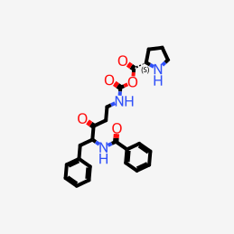 O=C(NCCC(=O)C(Cc1ccccc1)NC(=O)c1ccccc1)OC(=O)[C@@H]1CCCN1